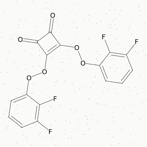 O=c1c(OOc2cccc(F)c2F)c(OOc2cccc(F)c2F)c1=O